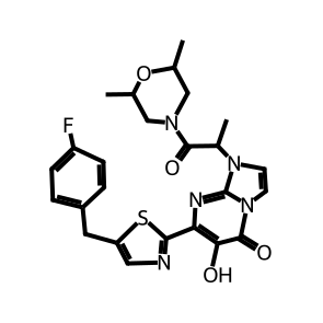 CC1CN(C(=O)C(C)n2ccn3c(=O)c(O)c(-c4ncc(Cc5ccc(F)cc5)s4)nc23)CC(C)O1